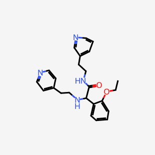 CCOc1ccccc1C(NCCc1ccncc1)C(=O)NCCc1cccnc1